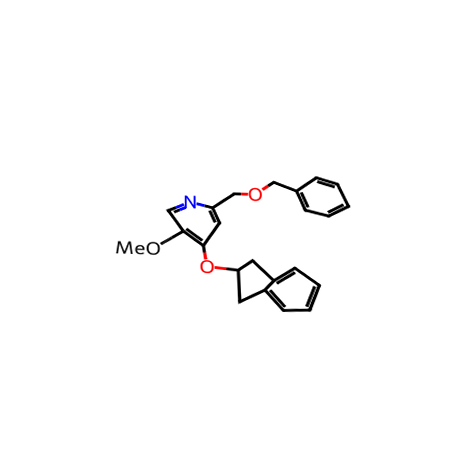 COc1cnc(COCc2ccccc2)cc1OC1Cc2ccccc2C1